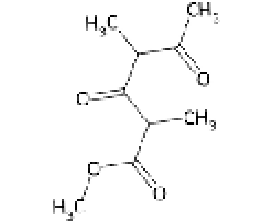 COC(=O)C(C)C(=O)C(C)C(C)=O